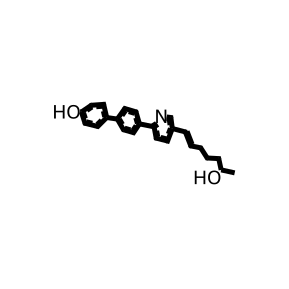 CC(O)CCCC=Cc1ccc(-c2ccc(-c3ccc(O)cc3)cc2)nc1